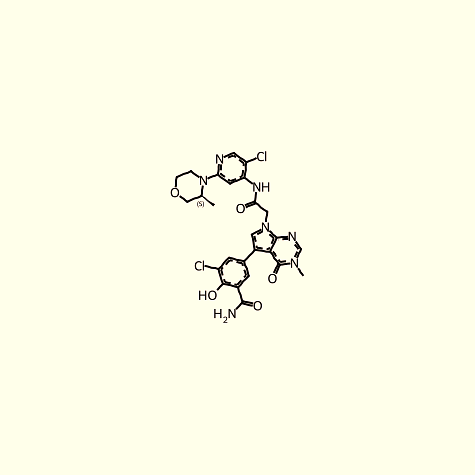 C[C@H]1COCCN1c1cc(NC(=O)Cn2cc(-c3cc(Cl)c(O)c(C(N)=O)c3)c3c(=O)n(C)cnc32)c(Cl)cn1